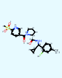 CS(=O)(=O)c1ccc(C(=O)N2CCC[C@@H]2C(=O)NC(c2ccc(C(F)(F)F)cc2F)C2CC2)cn1